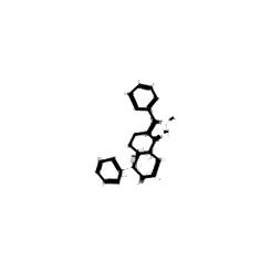 Cn1nc2c(c1-c1ccccc1)CC[C@H]1[C@H](c3ccccc3)C(=O)C=C[C@]21C